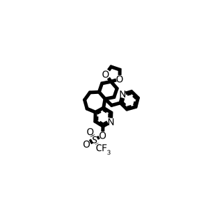 O=S(=O)(Oc1cc2c(cn1)C1(Cc3ccccn3)CCC3(CC1CCC2)OCCO3)C(F)(F)F